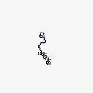 CC/C=C\C/C=C\C/C=C\C/C=C\C/C=C\CCCC(=O)NCC1CCN(C(=O)c2cccnc2)CC1